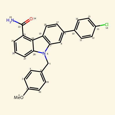 COc1ccc(Cn2c3cc(-c4ccc(Cl)cc4)c[c]c3c3c(C(N)=O)cccc32)cc1